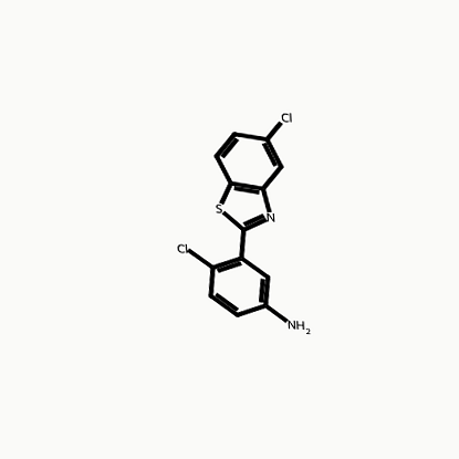 Nc1ccc(Cl)c(-c2nc3cc(Cl)ccc3s2)c1